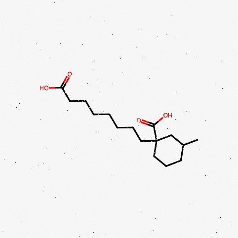 CC1CCCC(CCCCCCCC(=O)O)(C(=O)O)C1